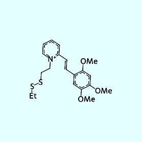 CCSSCC[n+]1ccccc1/C=C/c1cc(OC)c(OC)cc1OC